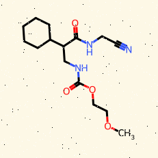 COCCOC(=O)NCC(C(=O)NCC#N)C1CCCCC1